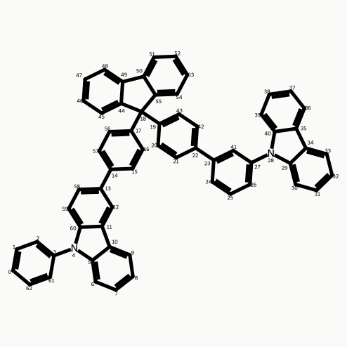 c1ccc(-n2c3ccccc3c3cc(-c4ccc(C5(c6ccc(-c7cccc(-n8c9ccccc9c9ccccc98)c7)cc6)c6ccccc6-c6ccccc65)cc4)ccc32)cc1